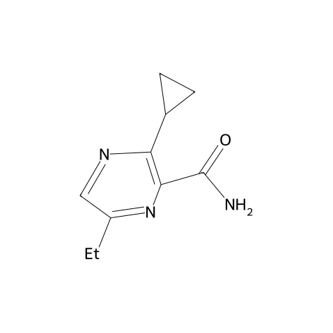 CCc1cnc(C2CC2)c(C(N)=O)n1